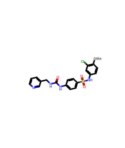 COc1ccc(NS(=O)(=O)c2ccc(NC(=O)NCc3cccnc3)cc2)cc1Cl